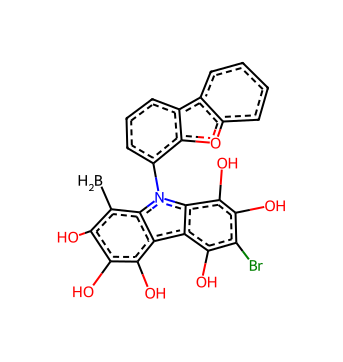 Bc1c(O)c(O)c(O)c2c3c(O)c(Br)c(O)c(O)c3n(-c3cccc4c3oc3ccccc34)c12